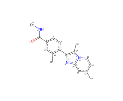 CCNC(=O)c1ccc(-c2nc3cc(C)ccn3c2C)c(C)c1